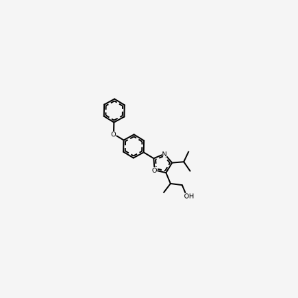 CC(C)c1nc(-c2ccc(Oc3ccccc3)cc2)oc1C(C)CO